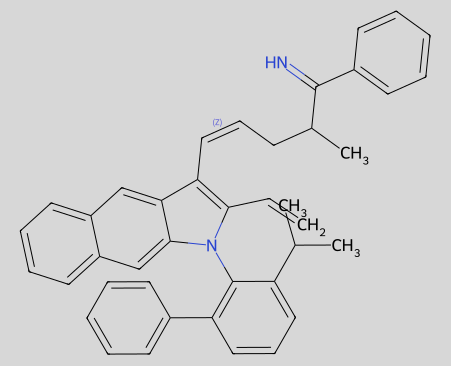 C=Cc1c(/C=C\CC(C)C(=N)c2ccccc2)c2cc3ccccc3cc2n1-c1c(-c2ccccc2)cccc1C(C)C